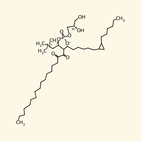 CCCCCCCCCCCCCCCC(=O)C(=O)C(CCCCCCC1CC1CCCCCC)C(C[N+](C)(C)C)OP(=O)([O-])OC[C@H](O)CO